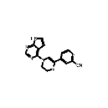 N#Cc1cc(C2=CN(c3ncnc4[nH]ccc34)CCS2)ccn1